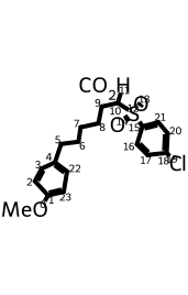 COc1ccc(CCCCCC(C(=O)O)S(=O)(=O)c2ccc(Cl)cc2)cc1